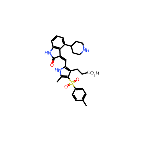 Cc1ccc(S(=O)(=O)c2c(C)[nH]c(/C=C3\C(=O)Nc4cccc(C5CCNCC5)c43)c2CCC(=O)O)cc1